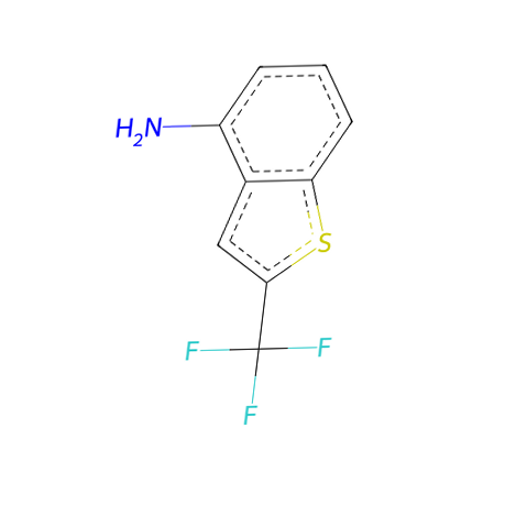 Nc1cccc2sc(C(F)(F)F)cc12